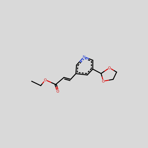 CCOC(=O)/C=C/c1cncc(C2OCCO2)c1